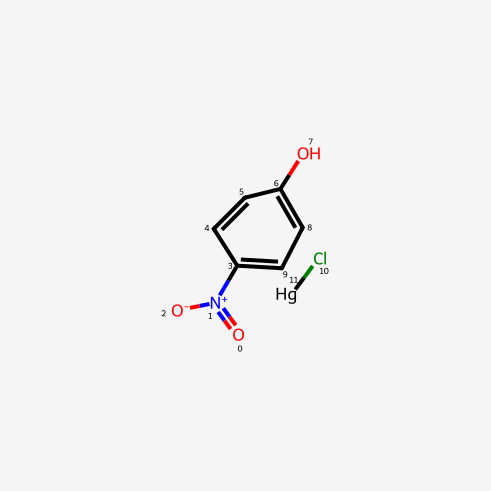 O=[N+]([O-])c1ccc(O)cc1.[Cl][Hg]